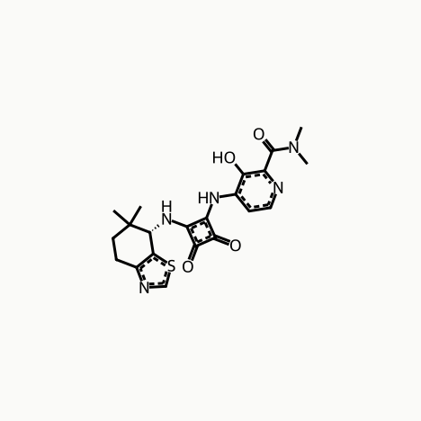 CN(C)C(=O)c1nccc(Nc2c(N[C@@H]3c4scnc4CCC3(C)C)c(=O)c2=O)c1O